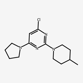 CC1CCN(c2nc(Cl)cc(N3CCCC3)n2)CC1